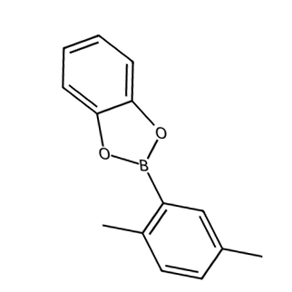 Cc1ccc(C)c(B2Oc3ccccc3O2)c1